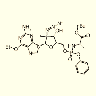 CCCCOC(=O)[C@H](C)NP(=O)(OC[C@H]1O[C@@H](n2cnc3c(OCC)nc(N)nc32)[C@](C)(N=[N+]=[N-])[C@@H]1O)Oc1ccccc1